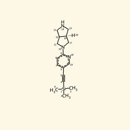 C[Si](C)(C)C#Cc1ccc(N2CC3CNC[C@H]3C2)nc1